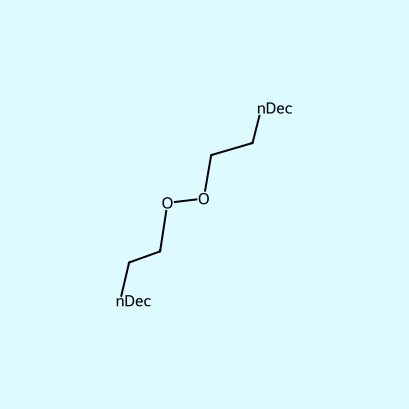 CCCCCCCCCCCCOOCCCCCCCCCCCC